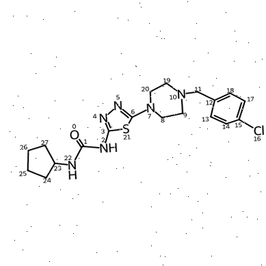 O=C(Nc1nnc(N2CCN(Cc3ccc(Cl)cc3)CC2)s1)NC1CCCC1